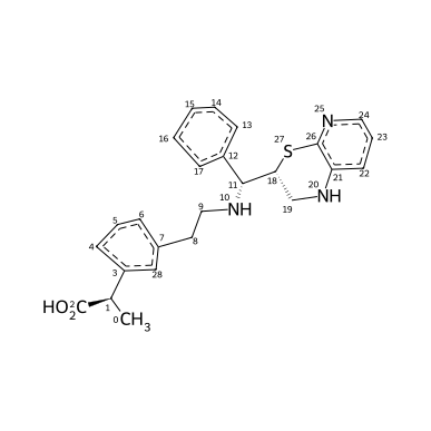 C[C@@H](C(=O)O)c1cccc(CCN[C@H](c2ccccc2)[C@H]2CNc3cccnc3S2)c1